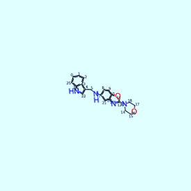 c1ccc2c(CNc3ccc4oc(N5CCOCC5)nc4c3)c[nH]c2c1